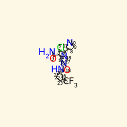 NC(=O)c1c(Cl)c(-c2cccnc2)n2c1CN(C(=O)Nc1cccc(C(F)(F)F)c1)CC2